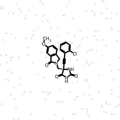 COc1ccc2c(c1)C(=O)N(C[C@@]1(C#Cc3ccccc3Cl)NC(=O)NC1=O)C2